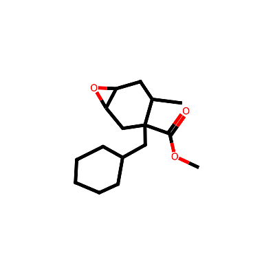 COC(=O)C1(CC2CCCCC2)CC2OC2CC1C